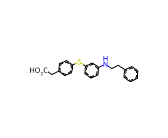 O=C(O)Cc1ccc(Sc2cccc(NCCc3ccccc3)c2)cc1